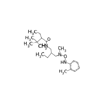 CCC(CNC(=O)C(CC)C(C)(C)C)CN(C)ONc1ccccc1C